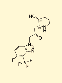 O=C(C[C@H]1NCCC[C@@H]1O)Cn1cnc2c(C(F)(F)F)c(F)ccc21